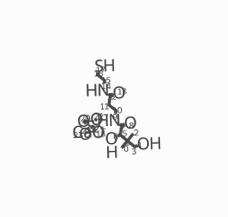 CC(C)(CO)C(O)C(=O)NCCC(=O)NCCS.O=S(=O)([O-])[O-].[Ca+2]